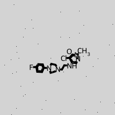 Cn1ncc(NCCN2CCN(c3ccc(F)cc3)CC2)c(Cl)c1=O